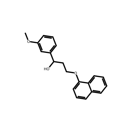 COc1cccc(C(O)CCOc2cccc3ccccc23)c1